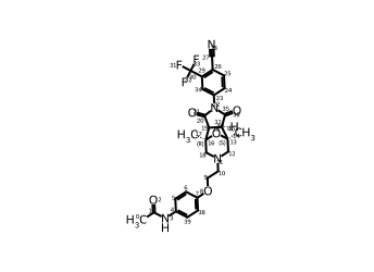 CC(=O)Nc1ccc(OCCN2C[C@@]3(C)O[C@@](C)(C2)C2C(=O)N(c4ccc(C#N)c(C(F)(F)F)c4)C(=O)[C@H]23)cc1